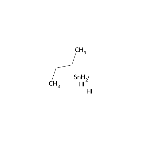 CCCC.I.I.[SnH2]